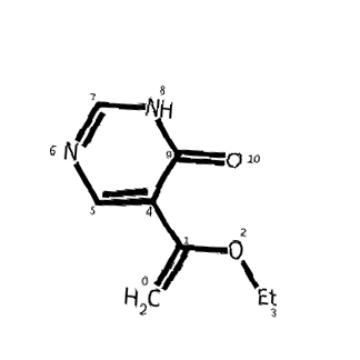 C=C(OCC)c1cnc[nH]c1=O